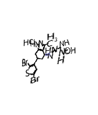 Cc1n[nH]c2c1/C(=N\NC(=N)NO)CC(c1cc(Br)sc1Br)C2.Cl